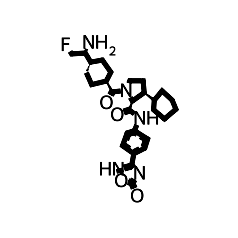 N[C@H](CF)[C@H]1CC[C@H](C(=O)N2CC[C@@H](C3CCCCC3)[C@H]2C(=O)Nc2ccc(-c3nc(=O)o[nH]3)cc2)CC1